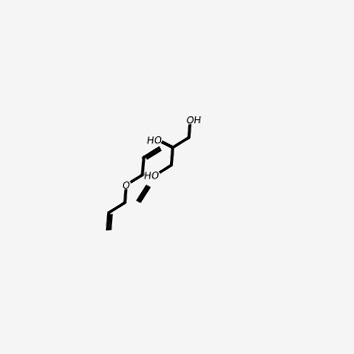 C=C.C=CCOCC=C.OCC(O)CO